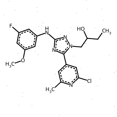 CCC(O)Cn1nc(Nc2cc(F)cc(OC)c2)nc1-c1cc(C)nc(Cl)c1